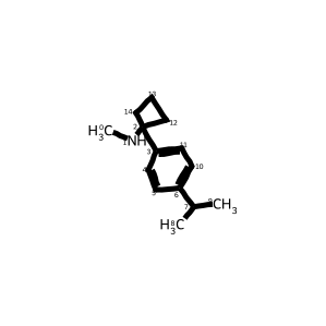 CNC1(c2ccc(C(C)C)cc2)CCC1